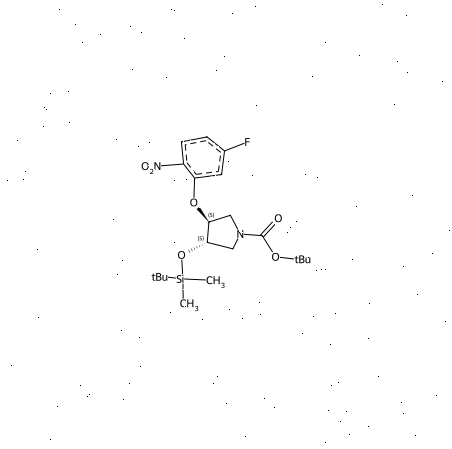 CC(C)(C)OC(=O)N1C[C@H](Oc2cc(F)ccc2[N+](=O)[O-])[C@@H](O[Si](C)(C)C(C)(C)C)C1